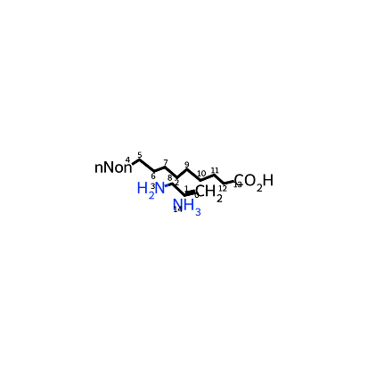 C=CCN.CCCCCCCCCCCCCCCCCC(=O)O.N